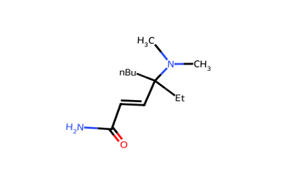 CCCCC(/C=C/C(N)=O)(CC)N(C)C